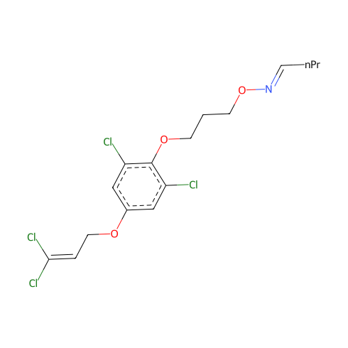 CCC/C=N/OCCCOc1c(Cl)cc(OCC=C(Cl)Cl)cc1Cl